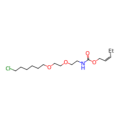 CC/C=C\COC(=O)NCCOCCOCCCCCCCl